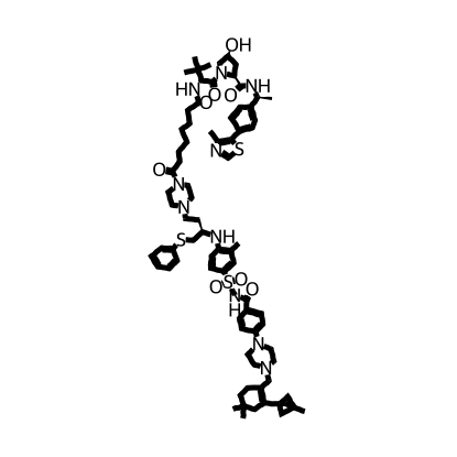 Cc1cc(S(=O)(=O)NC(=O)c2ccc(N3CCN(CC4=C(C56CC(C)(C5)C6)CC(C)(C)CC4)CC3)cc2)ccc1N[C@H](CCN1CCN(C(=O)CCCCCCC(=O)N[C@H](C(=O)N2C[C@H](O)C[C@H]2C(=O)N[C@@H](C)c2ccc(-c3scnc3C)cc2)C(C)(C)C)CC1)CSc1ccccc1